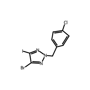 Clc1ccc(Cn2nc(Br)c(I)n2)cc1